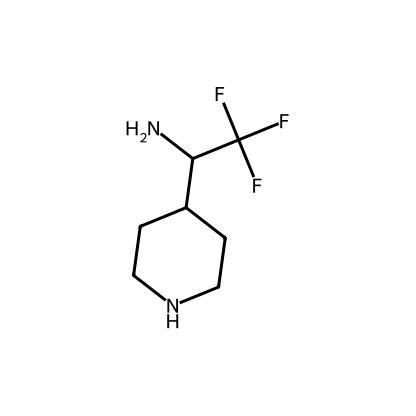 NC(C1CCNCC1)C(F)(F)F